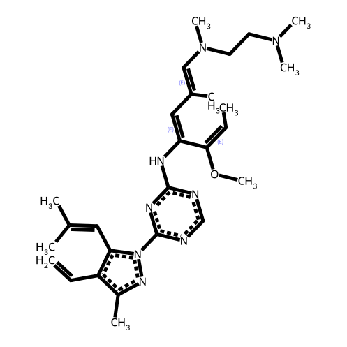 C=Cc1c(C)nn(-c2ncnc(NC(=C/C(C)=C/N(C)CCN(C)C)/C(=C\C)OC)n2)c1C=C(C)C